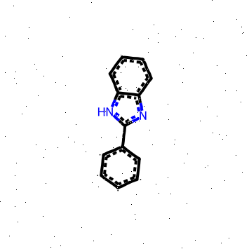 [c]1[c][c]c(-c2nc3ccccc3[nH]2)c[c]1